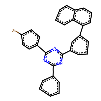 Brc1ccc(-c2nc(-c3ccccc3)nc(-c3cccc(-c4cccc5ccccc45)c3)n2)cc1